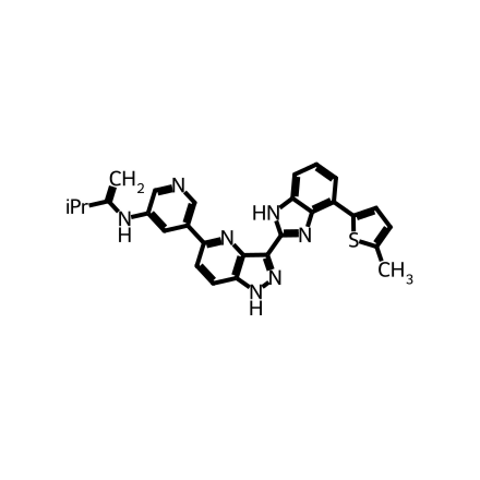 C=C(Nc1cncc(-c2ccc3[nH]nc(-c4nc5c(-c6ccc(C)s6)cccc5[nH]4)c3n2)c1)C(C)C